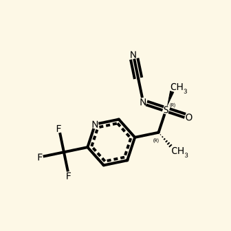 C[C@H](c1ccc(C(F)(F)F)nc1)[S@@](C)(=O)=NC#N